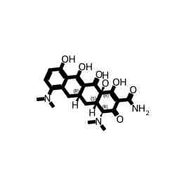 CN(C)c1ccc(O)c2c1C[C@H]1C[C@H]3[C@@H](N(C)C)C(=O)C(C(N)=O)=C(O)[C@@]3(O)C(=O)C1=C2O